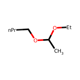 CCCCOC(C)OCC